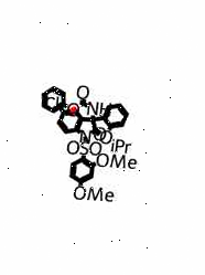 COc1ccc(S(=O)(=O)N2C(=O)C(NC(=O)Oc3ccccc3)(c3ccccc3OC(C)C)c3cc(Cl)ccc32)c(OC)c1